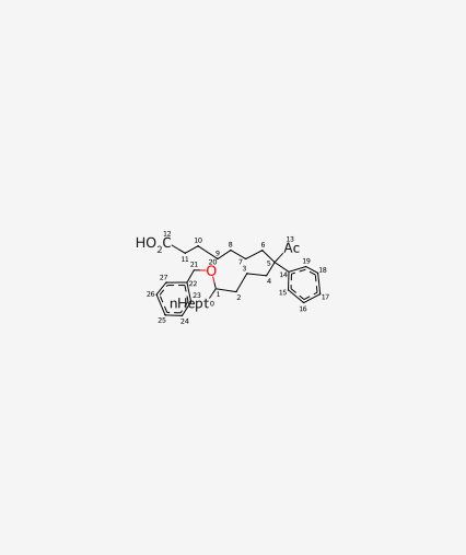 CCCCCCCC(CCCC(CCCCCCC(=O)O)(C(C)=O)c1ccccc1)OCc1ccccc1